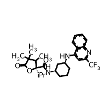 CC(C)[C@]1(C(=O)N[C@@H]2CCC[C@H](Nc3cc(C(F)(F)F)nc4ccccc34)C2)OC(=O)C(C)(C)C1C